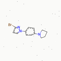 Brc1ccn(-c2ccc(N3CCCC3)cc2)n1